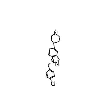 CN1CCC(c2ccc3c(cnn3Cc3ccc(Cl)cc3)c2)CC1